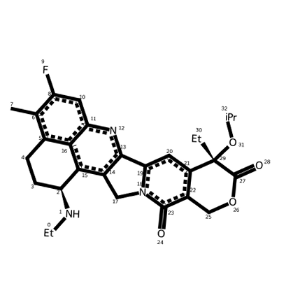 CCN[C@H]1CCc2c(C)c(F)cc3nc4c(c1c23)Cn1c-4cc2c(c1=O)COC(=O)[C@@]2(CC)OC(C)C